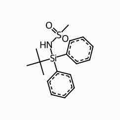 CC(C)(C)[Si](NS(C)(=O)=O)(c1ccccc1)c1ccccc1